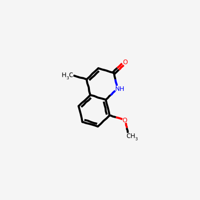 COc1cccc2c(C)cc(=O)[nH]c12